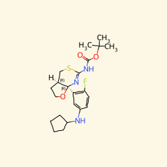 CC(C)(C)OC(=O)NC1=N[C@@]2(c3cc(NC4CCCC4)ccc3F)OCC[C@H]2CS1